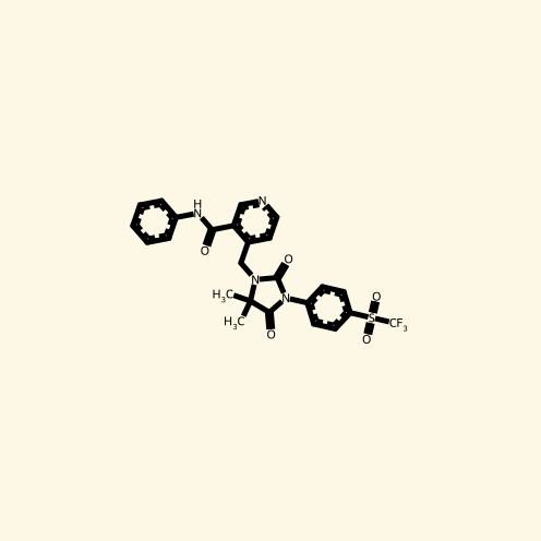 CC1(C)C(=O)N(c2ccc(S(=O)(=O)C(F)(F)F)cc2)C(=O)N1Cc1ccncc1C(=O)Nc1ccccc1